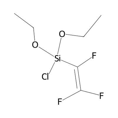 CCO[Si](Cl)(OCC)C(F)=C(F)F